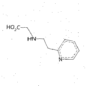 O=C(O)CNCCc1ccccn1